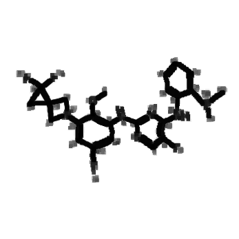 COc1c(Nc2ncc(F)c(Nc3ccccc3P(C)C)n2)cc(F)cc1N1CC2(C1)CC2(F)F